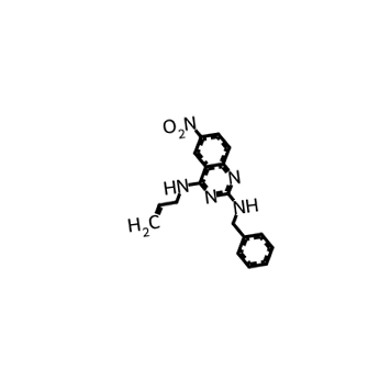 C=CCNc1nc(NCc2ccccc2)nc2ccc([N+](=O)[O-])cc12